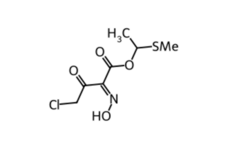 CSC(C)OC(=O)C(=NO)C(=O)CCl